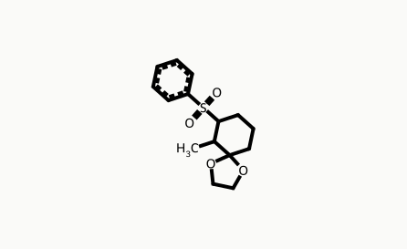 CC1C(S(=O)(=O)c2ccccc2)CCCC12OCCO2